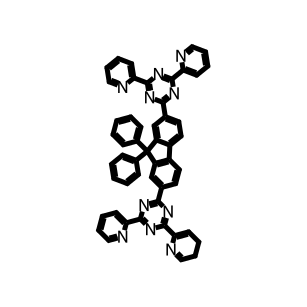 C1=NC(c2nc(-c3ccc4c(c3)C(c3ccccc3)(c3ccccc3)c3cc(-c5nc(-c6ccccn6)nc(-c6ccccn6)n5)ccc3-4)nc(-c3ccccn3)n2)=CCC1